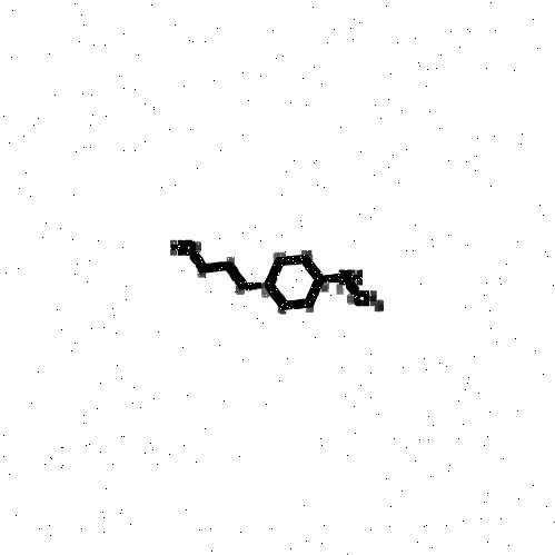 CN[C@H]1CC[C@H](CCCO)CC1